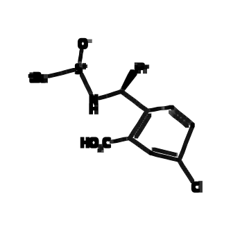 CC(C)[C@H](N[S+]([O-])C(C)(C)C)c1ccc(Cl)cc1C(=O)O